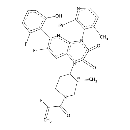 C=C(F)C(=O)N1CCC(n2c(=O)c(=O)n(-c3c(C)ccnc3C(C)C)c3nc(-c4c(O)cccc4F)c(F)cc32)[C@H](C)C1